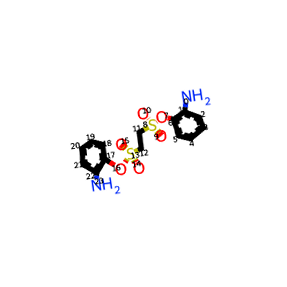 Nc1ccccc1OS(=O)(=O)CCS(=O)(=O)Oc1ccccc1N